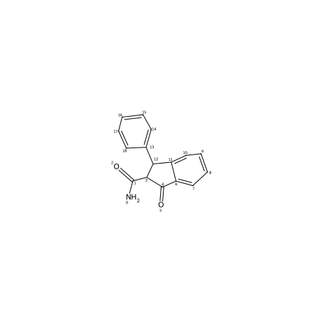 NC(=O)C1C(=O)c2ccccc2C1c1ccccc1